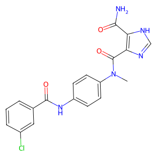 CN(C(=O)c1nc[nH]c1C(N)=O)c1ccc(NC(=O)c2cccc(Cl)c2)cc1